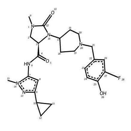 CN1C[C@H](C(=O)Nc2cc(C3CC3)nn2C)N(C2CCN(Cc3ccc(O)c(F)c3)CC2)C1=O